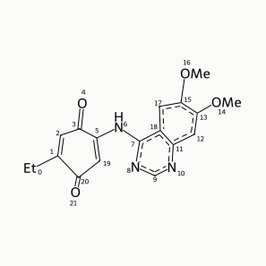 CCC1=CC(=O)C(Nc2ncnc3cc(OC)c(OC)cc23)=CC1=O